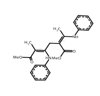 COC(=O)/C(C)=C(/C/C(C(=O)OC)=C(\C)Nc1ccccc1)Nc1ccccc1